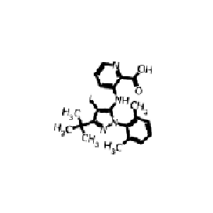 Cc1cccc(C)c1-n1nc(C(C)(C)C)c(I)c1Nc1cccnc1C(=O)O